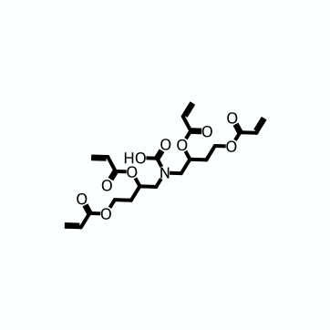 C=CC(=O)OCCC(CN(CC(CCOC(=O)C=C)OC(=O)C=C)C(=O)O)OC(=O)C=C